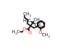 CCCCC(Cc1ccccc1OC)(C(=O)OCC)C(C)(C)C